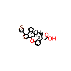 CC1(C)CCC=C1c1c(COc2cccc([C@@H](CC(=O)O)C3CC3)c2)csc1-c1ccsc1